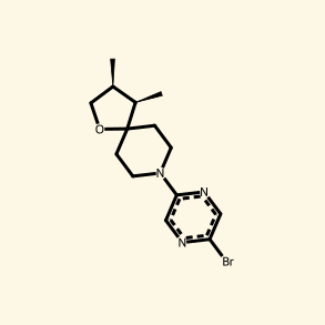 C[C@@H]1COC2(CCN(c3cnc(Br)cn3)CC2)[C@@H]1C